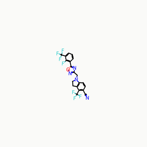 N#Cc1ccc2c(c1C(F)(F)F)CCN2Cc1noc(-c2cccc(C(F)(F)F)c2F)n1